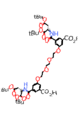 CC(C)(C)OC(=O)C[C@H](NC(=O)c1cc(OCCOCCOCCOc2cc(C(=O)O)cc(C(=O)N[C@@H](CC(=O)OC(C)(C)C)C(=O)OC(C)(C)C)c2)cc(C(=O)O)c1)C(=O)OC(C)(C)C